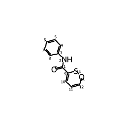 O=C(Nc1ccccc1)C1=CC=COS1